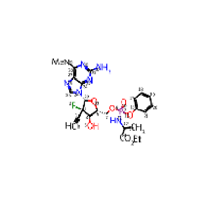 C#C[C@@]1(F)[C@H](O)[C@@H](CO[P@](=O)(NC(C)C(=O)OCC)Oc2ccccc2)O[C@H]1n1cnc2c(NC)nc(N)nc21